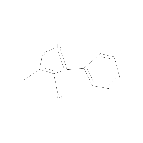 CC(=O)c1c(-c2ccccc2)noc1C